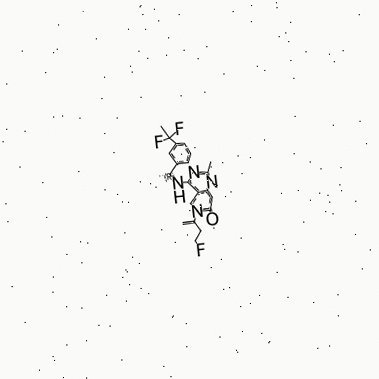 C=C(CCF)n1cc2c(N[C@H](C)c3cccc(C(C)(F)F)c3)nc(C)nc2cc1=O